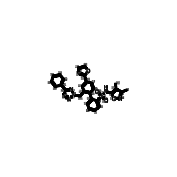 Cc1noc(NS(=O)(=O)c2ccccc2-c2ccc(-c3ncco3)cc2Cn2nnc(-c3ccccc3)n2)c1C